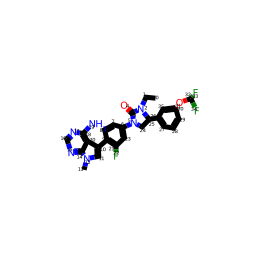 CCN1C(=O)N(c2ccc(-c3cn(C)c4ncnc(N)c34)c(F)c2)CC1c1cccc(OC(F)F)c1